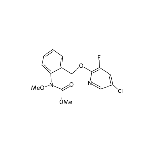 COC(=O)N(OC)c1ccccc1COc1ncc(Cl)cc1F